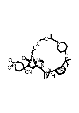 CC1CCCCCn2c(=O)c(C3(C#N)CCS(=O)(=O)CC3)cc3c(ncnc32)N[C@H](C)c2cccc(c2F)C(F)(F)CC2CCN1CC2